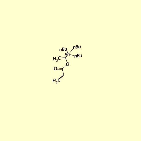 C=CC(=O)O[CH](C)[Sn]([CH2]CCC)([CH2]CCC)[CH2]CCC